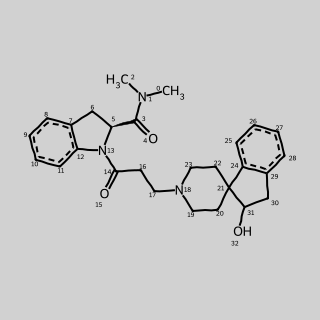 CN(C)C(=O)[C@@H]1Cc2ccccc2N1C(=O)CCN1CCC2(CC1)c1ccccc1CC2O